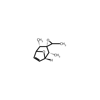 CC1O[C@@]12[C@H](C)[C@@H]1C=CC(O1)[C@@H]2C